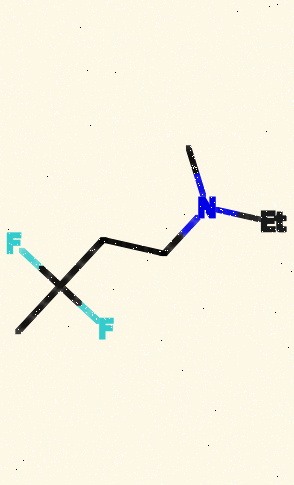 CCN(C)CCC(C)(F)F